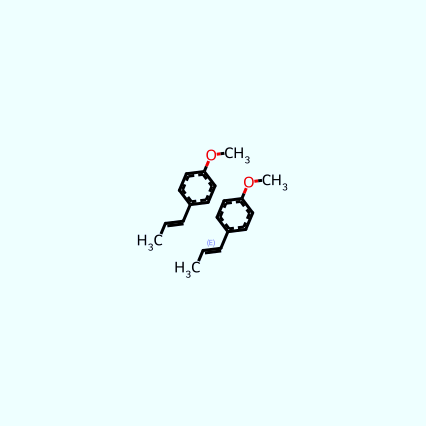 C/C=C/c1ccc(OC)cc1.CC=Cc1ccc(OC)cc1